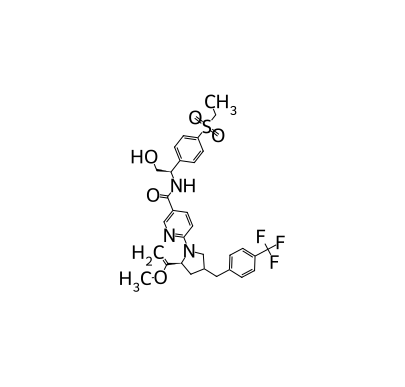 C=C(OC)[C@@H]1CC(Cc2ccc(C(F)(F)F)cc2)CN1c1ccc(C(=O)N[C@@H](CO)c2ccc(S(=O)(=O)CC)cc2)cn1